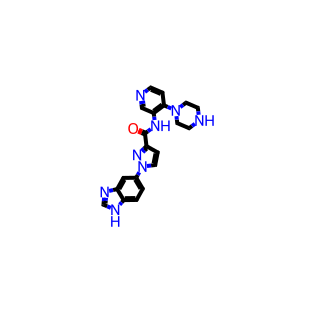 O=C(Nc1cnccc1N1CCNCC1)c1ccn(-c2ccc3[nH]cnc3c2)n1